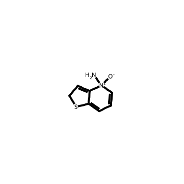 N[N+]1([O-])C=CC=C2SCC=C21